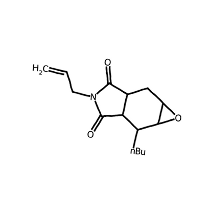 C=CCN1C(=O)C2CC3OC3C(CCCC)C2C1=O